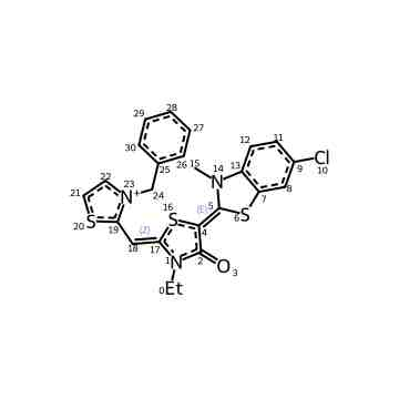 CCn1c(=O)/c(=C2\Sc3cc(Cl)ccc3N2C)s/c1=C\c1scc[n+]1Cc1ccccc1